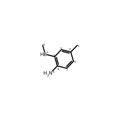 CBc1cc(C)ccc1N